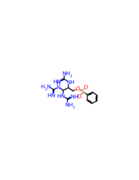 N=C(N)NC(COS(=O)(=O)c1ccccc1)C(NC(=N)N)NC(=N)N